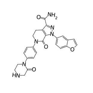 NC(=O)c1nn(-c2ccc3occc3c2)c2c1CCN(c1ccc(N3CCNCC3=O)cc1)C2=O